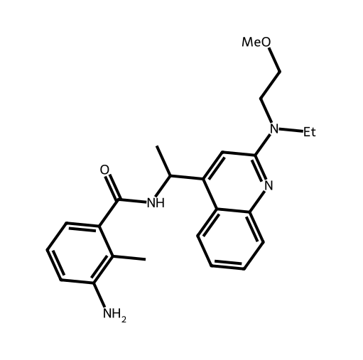 CCN(CCOC)c1cc(C(C)NC(=O)c2cccc(N)c2C)c2ccccc2n1